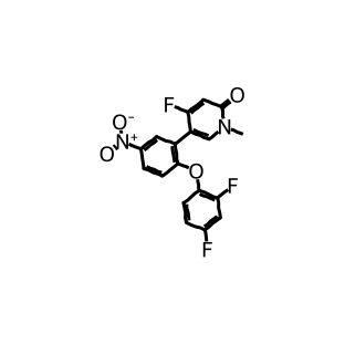 Cn1cc(-c2cc([N+](=O)[O-])ccc2Oc2ccc(F)cc2F)c(F)cc1=O